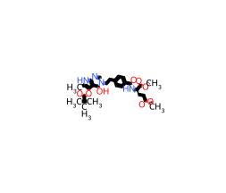 COC(=O)CC[C@@H](NC(=O)c1ccc(CCN2C=Nc3[nH]c(C)c(OC(=O)C(C)(C)C)c3C2O)cc1)C(=O)OC